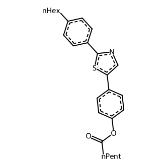 CCCCCCc1ccc(-c2ncc(-c3ccc(OC(=O)CCCCC)cc3)s2)cc1